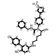 CCCC(CCCCNc1ncc(C#N)c(-c2ccc(Cl)cc2)n1)N(C(=O)NCc1ccccc1)c1ccc(-c2cnn(C)c2)cn1